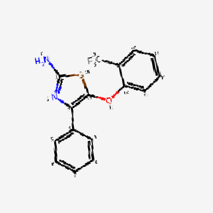 Nc1nc(-c2ccccc2)c(Oc2ccccc2C(F)(F)F)s1